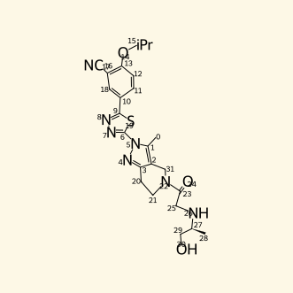 Cc1c2c(nn1-c1nnc(-c3ccc(OC(C)C)c(C#N)c3)s1)CCN(C(=O)CN[C@@H](C)CO)C2